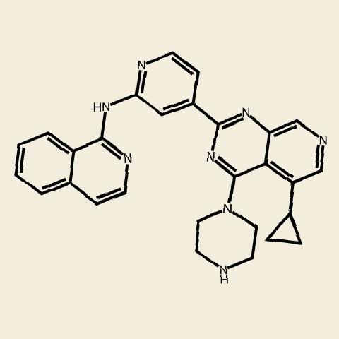 c1ccc2c(Nc3cc(-c4nc(N5CCNCC5)c5c(C6CC6)cncc5n4)ccn3)nccc2c1